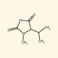 CC(C)C1C(=S)OC(=O)N1C